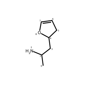 CC(N)CC1CC=CO1